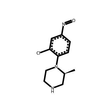 C[C@H]1CNCCN1c1ccc(N=O)cc1Cl